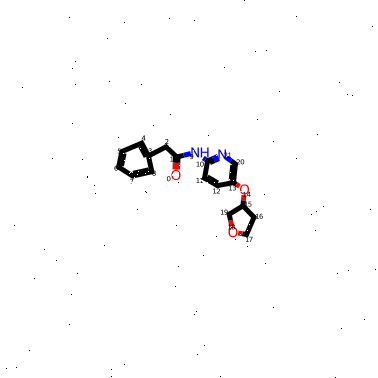 O=C(Cc1ccccc1)Nc1ccc(OC2CCOC2)cn1